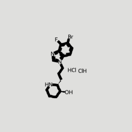 Cl.Cl.O[C@H]1CCCN[C@@H]1CCCn1cnc2c(F)c(Br)ccc21